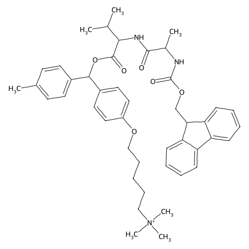 Cc1ccc(C(OC(=O)C(NC(=O)C(C)NC(=O)OCC2c3ccccc3-c3ccccc32)C(C)C)c2ccc(OCCCCC[N+](C)(C)C)cc2)cc1